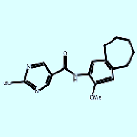 COc1cc2c(cc1NC(=O)c1cnc(C(C)(C)C)nc1)CCCCC2